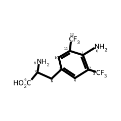 Nc1c(C(F)(F)F)cc(CC(N)C(=O)O)cc1C(F)(F)F